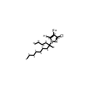 CCCCCCCC(C)(CCCC)n1nc(Cl)c(F)c1I